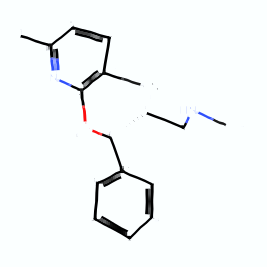 CCCNCC[C@@H](Oc1nc(C)ccc1C#N)c1ccccc1